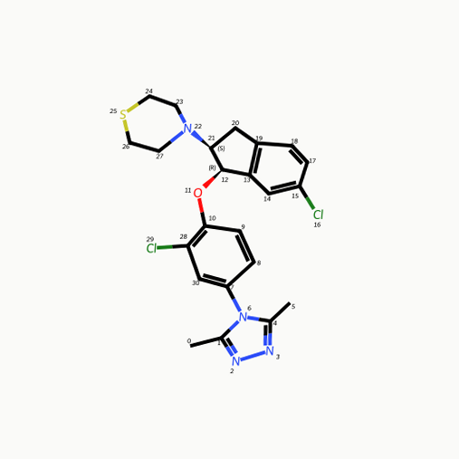 Cc1nnc(C)n1-c1ccc(O[C@@H]2c3cc(Cl)ccc3C[C@@H]2N2CCSCC2)c(Cl)c1